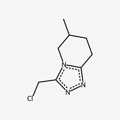 CC1CCc2nnc(CCl)n2C1